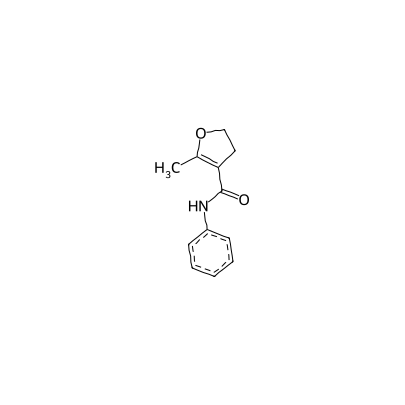 CC1=C(C(=O)Nc2ccccc2)CCO1